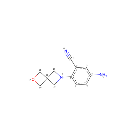 N#Cc1cc(N)ccc1N1CC2(COC2)C1